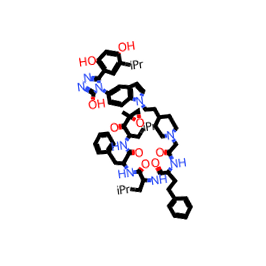 CC(C)CC(NC(=O)C(CCc1ccccc1)NC(=O)CN1CCC(CCn2ccc3cc(-n4c(O)nnc4-c4cc(C(C)C)c(O)cc4O)ccc32)CC1)C(=O)NC(Cc1ccccc1)C(=O)NC(CC(C)C)C(=O)C1(C)CO1